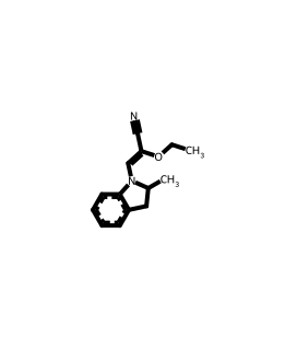 CCOC(C#N)=CN1c2ccccc2CC1C